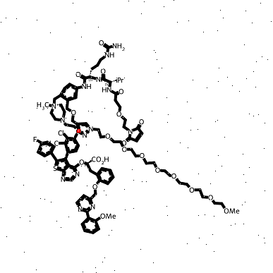 COCCOCCOCCOCCOCCOCCOCCOCCn1cc(COCc2cc(NC(=O)[C@H](CCCNC(N)=O)NC(=O)[C@@H](NC(=O)CCOCCN3C(=O)C=CC3=O)C(C)C)ccc2C[N+]2(C)CCN(CCOc3ccc(-c4c(-c5ccc(F)cc5)sc5ncnc(O[C@H](Cc6ccccc6OCc6ccnc(-c7ccccc7OC)n6)C(=O)O)c45)c(C)c3Cl)CC2)nn1